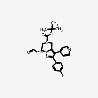 CC(C)(C)OC(=O)N1Cc2c(-c3ccncc3)c(-c3ccc(F)cc3)nn2[C@H](CC=O)C1